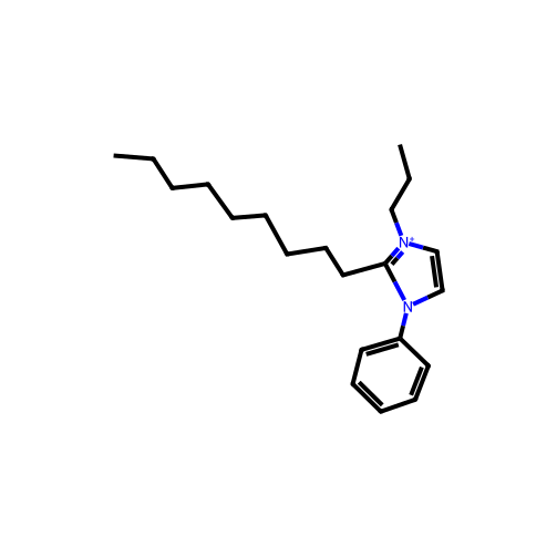 CCCCCCCCCc1n(-c2ccccc2)cc[n+]1CCC